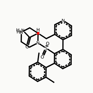 Cc1cccc(C)c1-c1cccc(-c2ccncc2CNC(N)=O)c1S(=O)(=O)N1CCNCC1